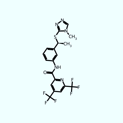 C[C@H](Sc1nncn1C)c1cccc(NC(=O)c2cc(C(F)(F)F)cc(C(F)(F)F)n2)c1